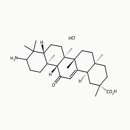 CC1(C)C(N)CC[C@]2(C)[C@H]3C(=O)C=C4[C@@H]5C[C@@](C)(C(=O)O)CC[C@]5(C)CC[C@@]4(C)[C@]3(C)CC[C@@H]12.Cl